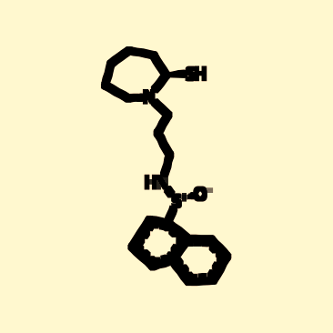 [O-][S@@+](NCCCN1CCCCC[C@H]1S)c1cccc2ccccc12